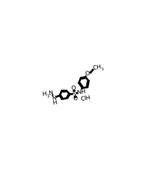 CCOc1ccc(NS(=O)(=O)c2ccc(NN)cc2)cc1.Cl